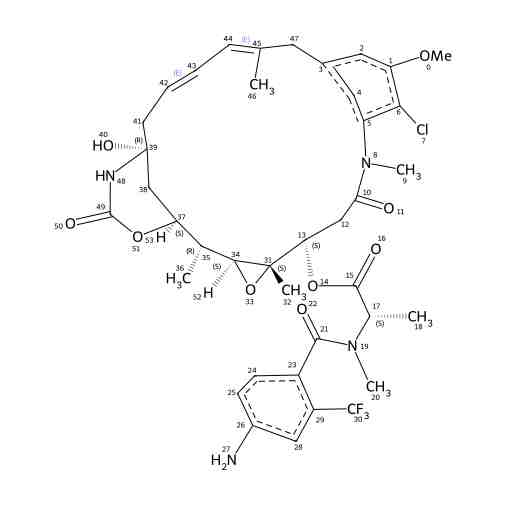 COc1cc2cc(c1Cl)N(C)C(=O)C[C@H](OC(=O)[C@H](C)N(C)C(=O)c1ccc(N)cc1C(F)(F)F)[C@]1(C)O[C@H]1[C@H](C)[C@@H]1C[C@](O)(C/C=C/C=C(\C)C2)NC(=O)O1